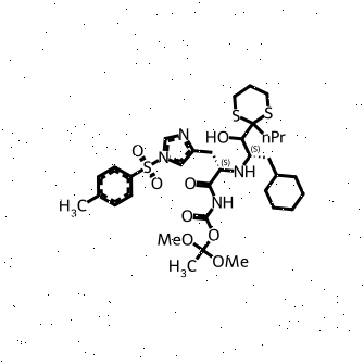 CCCC1(C(O)[C@H](CC2CCCCC2)N[C@@H](Cc2cn(S(=O)(=O)c3ccc(C)cc3)cn2)C(=O)NC(=O)OC(C)(OC)OC)SCCCS1